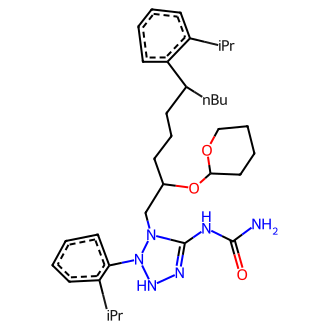 CCCCC(CCCC(CN1C(NC(N)=O)=NNN1c1ccccc1C(C)C)OC1CCCCO1)c1ccccc1C(C)C